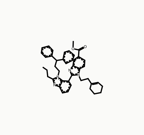 CCCc1nc2cccc(-c3nc4cc(C(=O)OC)ccc4n3CCC3=CCCCC3)c2n1CCC(c1ccccc1)c1ccccc1